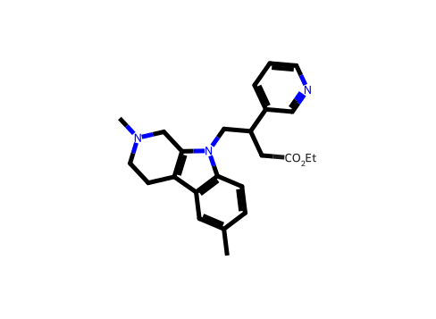 CCOC(=O)CC(Cn1c2c(c3cc(C)ccc31)CCN(C)C2)c1cccnc1